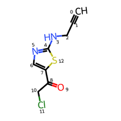 C#CCNc1ncc(C(=O)CCl)s1